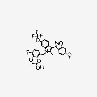 COc1ccc2c(-c3c(C)n(Cc4ccc(F)c(O[C@@H](C)C(=O)O)c4)c4cc(OC(F)(F)F)ccc34)noc2c1